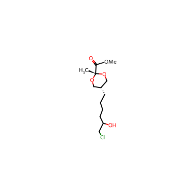 COC(=O)[C@]1(C)OC[C@H](CCCCC(O)CCl)CO1